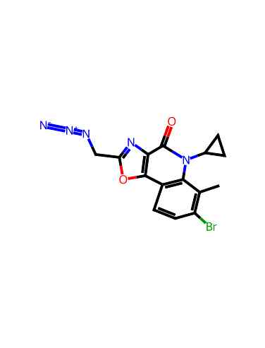 Cc1c(Br)ccc2c3oc(CN=[N+]=[N-])nc3c(=O)n(C3CC3)c12